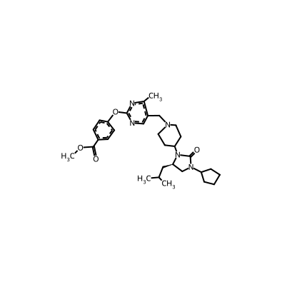 COC(=O)c1ccc(Oc2ncc(CN3CCC(N4C(=O)N(C5CCCC5)C[C@H]4CC(C)C)CC3)c(C)n2)cc1